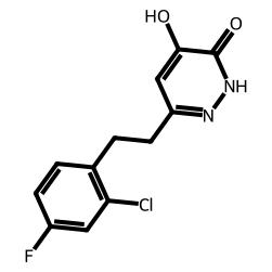 O=c1[nH]nc(CCc2ccc(F)cc2Cl)cc1O